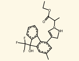 CCOC(=O)C(C)N1C=C(c2cc(C)cc3c2-c2ccccc2C3(O)C(F)(F)F)CN1